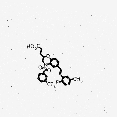 Cc1ccc(F)c(C=Cc2ccc3c(c2)N(S(=O)(=O)c2cccc(C(F)(F)F)c2)CC(CCC(=O)O)O3)c1